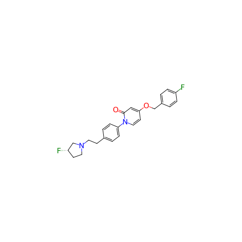 O=c1cc(OCc2ccc(F)cc2)ccn1-c1ccc(CCN2CC[C@H](F)C2)cc1